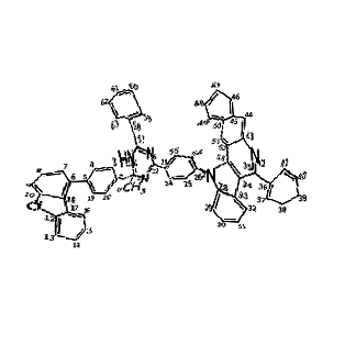 CC1(c2ccc(-c3cccc4oc5ccccc5c34)cc2)N=C(c2ccc(-n3c4ccccc4c4c(C5=CCCC=C5)nc5cc6ccccc6cc5c43)cc2)N=C(c2ccccc2)N1